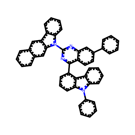 c1ccc(-c2ccc3c(-c4cccc5c4c4ccccc4n5-c4ccccc4)nc(-n4c5ccccc5c5cc6ccccc6cc54)nc3c2)cc1